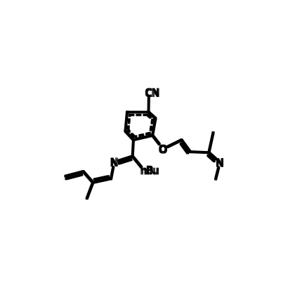 C=C/C(C)=C\N=C(/CCCC)c1ccc(C#N)cc1O/C=C/C(C)=N\C